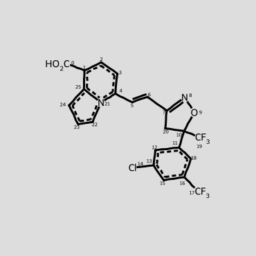 O=C(O)c1ccc(C=CC2=NOC(c3cc(Cl)cc(C(F)(F)F)c3)(C(F)(F)F)C2)n2cccc12